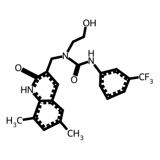 Cc1cc(C)c2[nH]c(=O)c(CN(CCO)C(=O)Nc3cccc(C(F)(F)F)c3)cc2c1